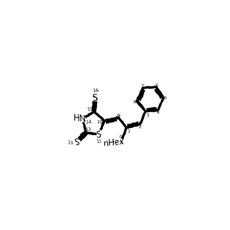 CCCCCCC(=Cc1ccccc1)C=C1SC(=S)NC1=S